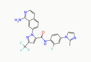 Cc1nccn1-c1ccc(NC(=O)c2cc(C(F)(F)F)nn2-c2ccc3ccnc(N)c3c2)c(F)c1